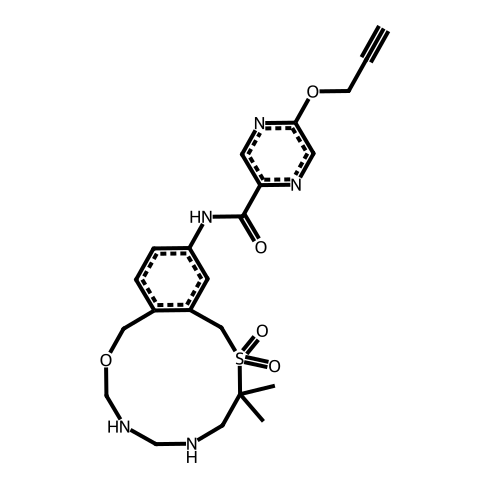 C#CCOc1cnc(C(=O)Nc2ccc3c(c2)CS(=O)(=O)C(C)(C)CNCNCOC3)cn1